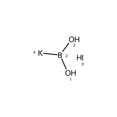 I.O[B](O)[K]